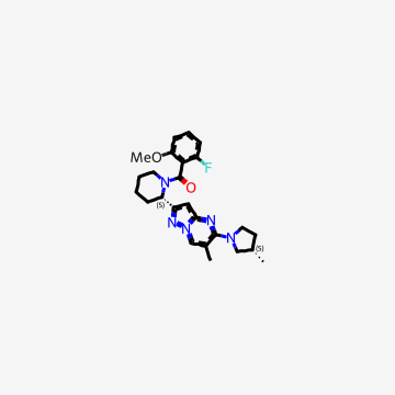 COc1cccc(F)c1C(=O)N1CCCC[C@H]1c1cc2nc(N3CC[C@H](C)C3)c(C)cn2n1